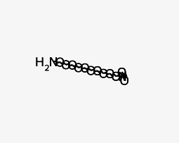 NCCOCCOCCOCCOCCOCCOCCOCCOCCOCCOCCN1C(=O)C=CC1=O